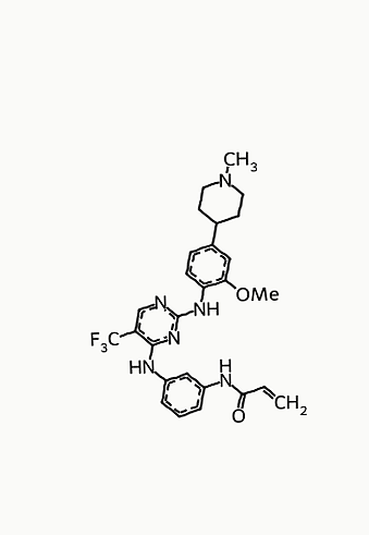 C=CC(=O)Nc1cccc(Nc2nc(Nc3ccc(C4CCN(C)CC4)cc3OC)ncc2C(F)(F)F)c1